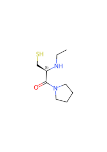 CCN[C@H](CS)C(=O)N1CCCC1